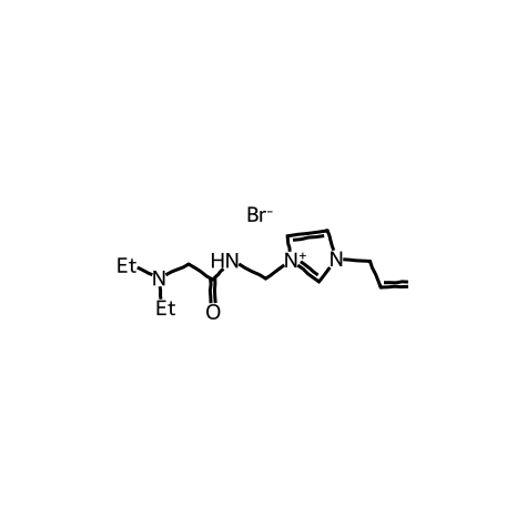 C=CCn1cc[n+](CNC(=O)CN(CC)CC)c1.[Br-]